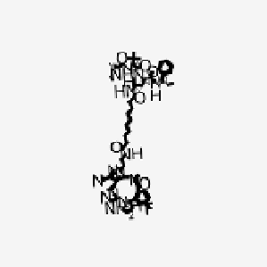 CC[C@H](NC(=O)[C@H]1C[C@@H](NC(=O)CCCCCCCCC(=O)NCCn2nc(C#N)c3c2CN(C)C(=O)c2ccc(F)cc2[C@H]2CCCN2c2nc-3cnc2N)CN1C(=O)[C@H](NC(=O)[C@@H](C)NC)C(C)(C)C)c1ccccc1